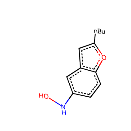 CCCCc1cc2cc(NO)ccc2o1